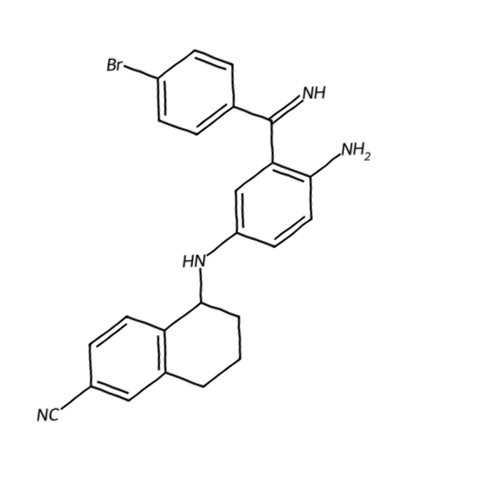 N#Cc1ccc2c(c1)CCCC2Nc1ccc(N)c(C(=N)c2ccc(Br)cc2)c1